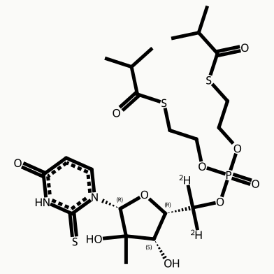 [2H]C([2H])(OP(=O)(OCCSC(=O)C(C)C)OCCSC(=O)C(C)C)[C@H]1O[C@@H](n2ccc(=O)[nH]c2=S)C(C)(O)[C@H]1O